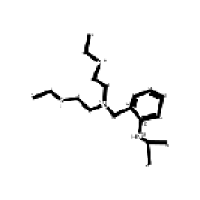 CCSCCN(CCSCC)Cc1ccccc1NC(C)C